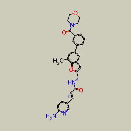 Cc1cc(-c2cccc(C(=O)N3CCOCC3)c2)cc2cc(CNC(=O)/C=C/c3ccc(N)nc3)oc12